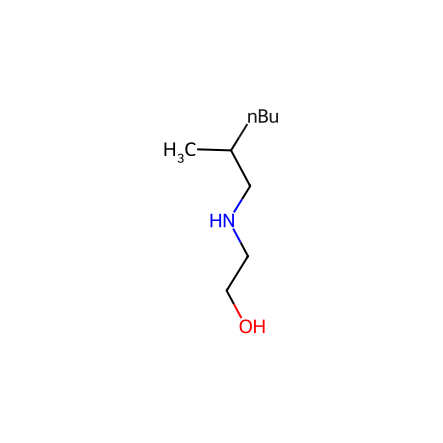 CCCCC(C)CNCCO